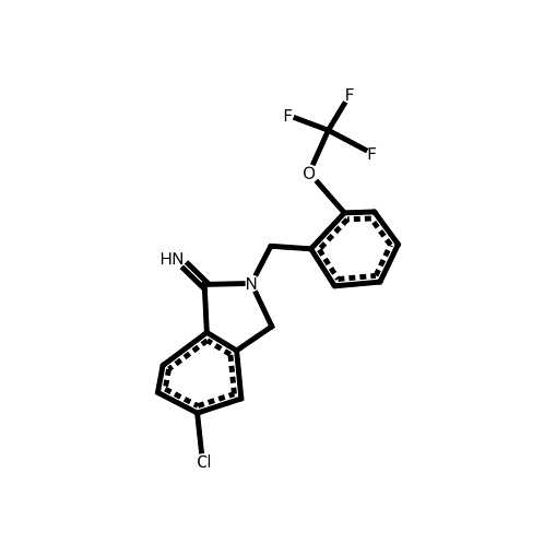 N=C1c2ccc(Cl)cc2CN1Cc1ccccc1OC(F)(F)F